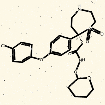 O=C(C[C@]1(c2ccc(Oc3ccc(Cl)cc3)cc2)CCNCCS1(=O)=O)NOC1CCCCO1